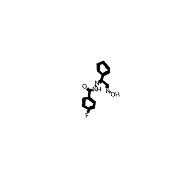 O=C(N/N=C(\C=N\O)c1ccccc1)c1ccc(F)cc1